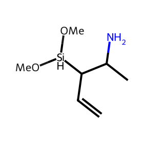 C=CC(C(C)N)[SiH](OC)OC